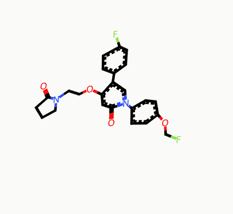 O=C1CCCN1CCOc1cc(=O)n(-c2ccc(OCF)cc2)cc1-c1ccc(F)cc1